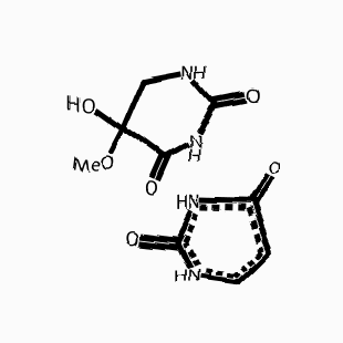 COC1(O)CNC(=O)NC1=O.O=c1cc[nH]c(=O)[nH]1